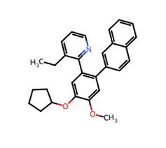 CCc1cccnc1-c1cc(OC2CCCC2)c(OC)cc1-c1ccc2ccccc2c1